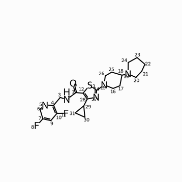 O=C(NCc1ncc(F)cc1F)c1sc(N2CCC(N3CCCCC3)CC2)nc1C1CC1